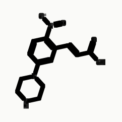 O=C(O)/C=C/c1cc(N2CCNCC2)ccc1[N+](=O)[O-]